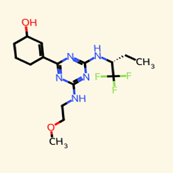 CC[C@@H](Nc1nc(NCCOC)nc(C2=CC(O)CCC2)n1)C(F)(F)F